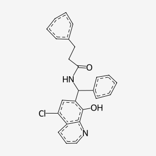 O=C(CCc1ccccc1)NC(c1ccccc1)c1cc(Cl)c2cccnc2c1O